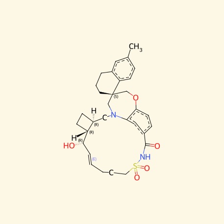 Cc1ccc2c(c1)CCC[C@]21COc2ccc3cc2N(C[C@@H]2CC[C@H]2[C@@H](O)/C=C/CCCS(=O)(=O)NC3=O)C1